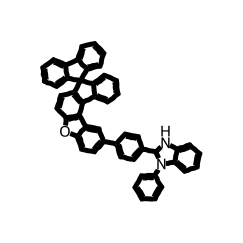 c1ccc(N2c3ccccc3NC2c2ccc(-c3ccc4oc5ccc6c(c5c4c3)-c3ccccc3C63c4ccccc4-c4ccccc43)cc2)cc1